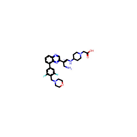 NC/C(=C\NC1CCN(CC(=O)O)CC1)c1cnc2cccc(-c3cc(F)c(CN4CCOCC4)c(F)c3)c2n1